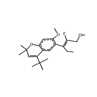 CCC(=C(F)CO)c1cc2c(cc1OC)OC(C)(C)C=C2C(C)(C)C